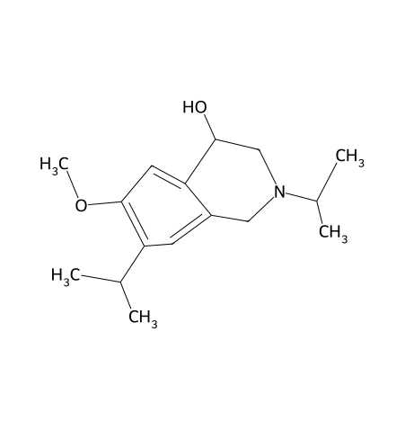 COc1cc2c(cc1C(C)C)CN(C(C)C)CC2O